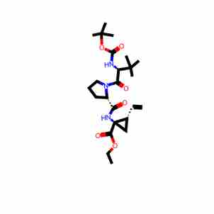 C=C[C@@H]1C[C@]1(NC(=O)[C@@H]1CCCN1C(=O)[C@@H](NC(=O)OC(C)(C)C)C(C)(C)C)C(=O)OCC